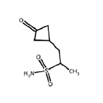 CC(CC1CC(=O)C1)S(N)(=O)=O